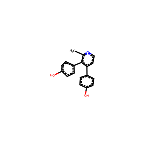 Cc1nccc(-c2ccc(O)cc2)c1-c1ccc(O)cc1